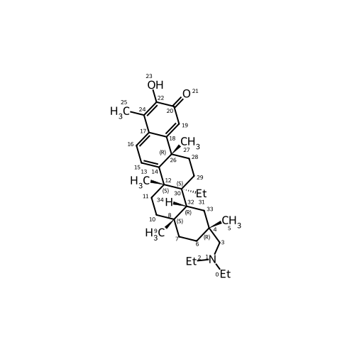 CCN(CC)C[C@]1(C)CC[C@]2(C)CC[C@]3(C)C4=CC=C5C(=CC(=O)C(O)=C5C)[C@]4(C)CC[C@@]3(CC)[C@@H]2C1